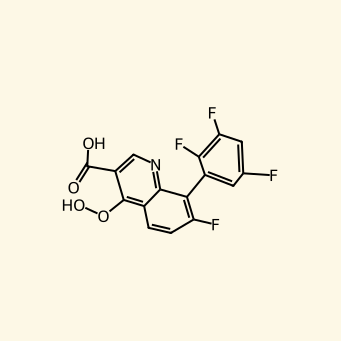 O=C(O)c1cnc2c(-c3cc(F)cc(F)c3F)c(F)ccc2c1OO